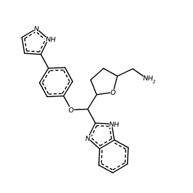 NCC1CCC(C(Oc2ccc(-c3ccn[nH]3)cc2)c2nc3ccccc3[nH]2)O1